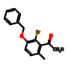 Cc1ccc(OCc2ccccc2)c(Br)c1C(=O)C(=O)O